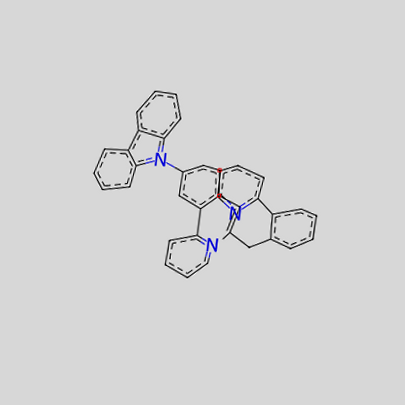 C/C(=C\c1ccc(-n2c3ccccc3c3ccccc32)cc1-c1ccccn1)Cc1ccccc1-c1ccccn1